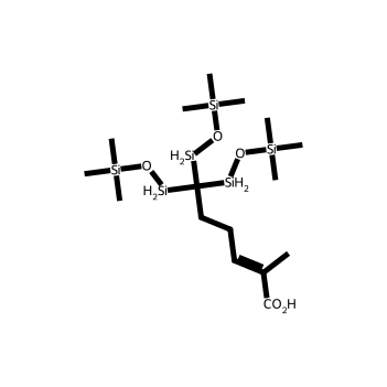 CC(=CCCC([SiH2]O[Si](C)(C)C)([SiH2]O[Si](C)(C)C)[SiH2]O[Si](C)(C)C)C(=O)O